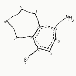 Nc1ccc(Br)c2c1CCCC2